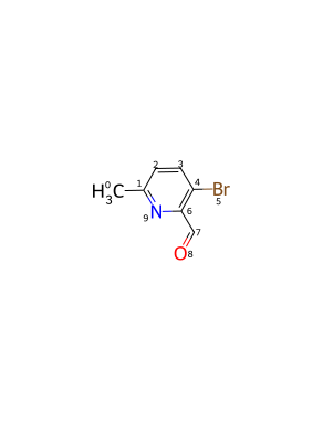 Cc1ccc(Br)c(C=O)n1